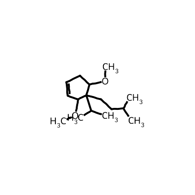 COC1C=CCC(OC)C1(CCC(C)C)C(C)C